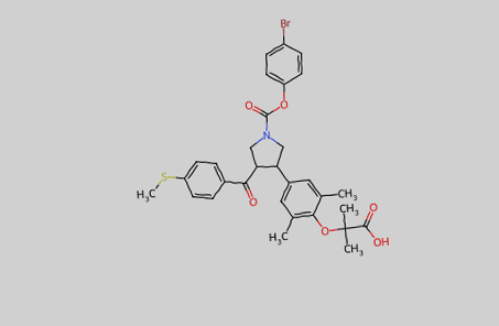 CSc1ccc(C(=O)C2CN(C(=O)Oc3ccc(Br)cc3)CC2c2cc(C)c(OC(C)(C)C(=O)O)c(C)c2)cc1